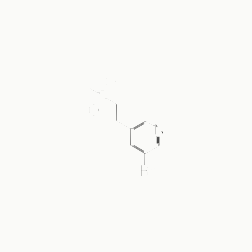 CS(=O)(=O)CCc1cncc(Br)c1